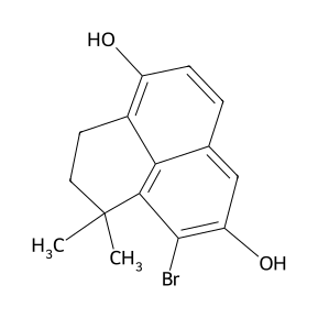 CC1(C)CCc2c(O)ccc3cc(O)c(Br)c1c23